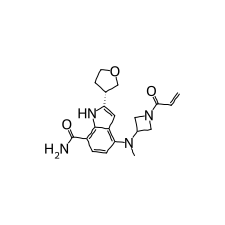 C=CC(=O)N1CC(N(C)c2ccc(C(N)=O)c3[nH]c([C@@H]4CCOC4)cc23)C1